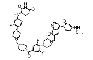 CNc1ccn(-c2ccnc3c2cc(CN2CCC(c4c(F)cc(C(=O)N5CCC(CN6CCN(c7ccc(NC8CCC(=O)NC8=O)cc7F)CC6)CC5)cc4F)CC2)n3C)c(=O)c1